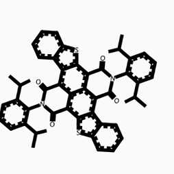 CC(C)c1cccc(C(C)C)c1N1C(=O)c2c3sc4ccccc4c3c3c4c(c5sc6ccccc6c5c(c24)C1=O)C(=O)N(c1c(C(C)C)cccc1C(C)C)C3=O